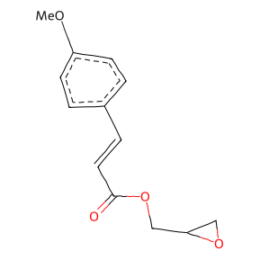 COc1ccc(C=CC(=O)OCC2CO2)cc1